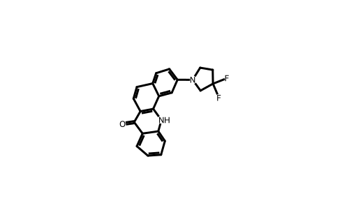 O=c1c2ccccc2[nH]c2c1ccc1ccc(N3CCC(F)(F)C3)cc12